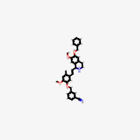 COc1cc(C)c(/C=C/C2NCCc3cc(OCc4ccccc4)c(OC)cc32)cc1OCc1cccc(C#N)c1